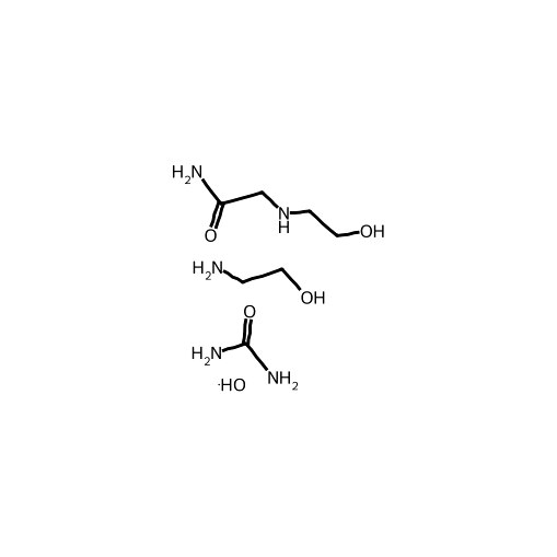 NC(=O)CNCCO.NC(N)=O.NCCO.[OH]